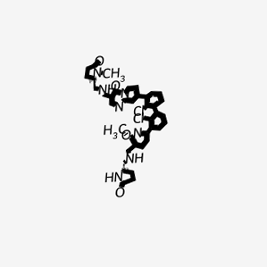 COc1nc(-c2cccc(-c3cccc(-c4ccn5c(=O)c(CNC[C@H]6CCC(=O)N6C)cnc5c4)c3Cl)c2Cl)ccc1CNC[C@@H]1CCC(=O)N1